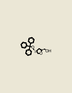 OC[C@@H]1C[C@@H](COC(c2ccccc2)(c2ccccc2)c2ccccc2)CO1